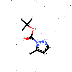 Cc1c[c]nn1C(=O)OC(C)(C)C